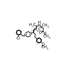 COC(=O)CC(C)(C)N/C(C)=C/C=C(\CCc1ccc(OC)cc1)N1CCN(Cc2ccccc2Cl)CC1